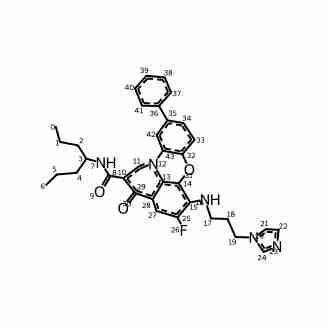 CCCC(CCC)NC(=O)c1cn2c3c(c(NCCCn4ccnc4)c(F)cc3c1=O)Oc1ccc(-c3ccccc3)cc1-2